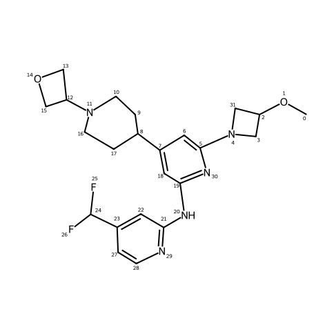 COC1CN(c2cc(C3CCN(C4COC4)CC3)cc(Nc3cc(C(F)F)ccn3)n2)C1